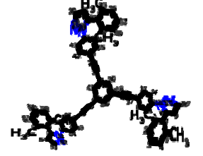 Cc1cccc(C)c1-c1ccnn1-c1ccc(C#Cc2cc(C#Cc3ccc(-n4nccc4-c4c(C)cccc4C)cc3)cc(C#Cc3ccc(-n4nccc4-c4c(C)cccc4C)cc3)c2)cc1